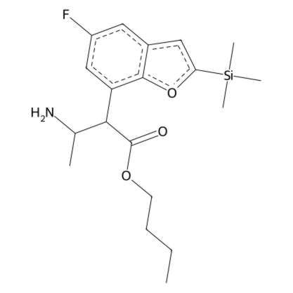 CCCCOC(=O)C(c1cc(F)cc2cc([Si](C)(C)C)oc12)C(C)N